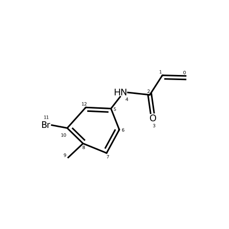 C=CC(=O)Nc1ccc(C)c(Br)c1